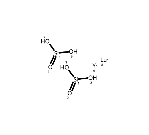 O=[Si](O)O.O=[Si](O)O.[Lu].[Y]